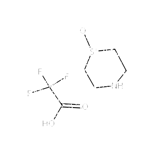 O=C(O)C(F)(F)F.[O-][S+]1CCNCC1